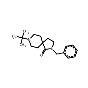 CC(C)(C)N1CCC2(CCN(Cc3ccccc3)C2=O)CC1